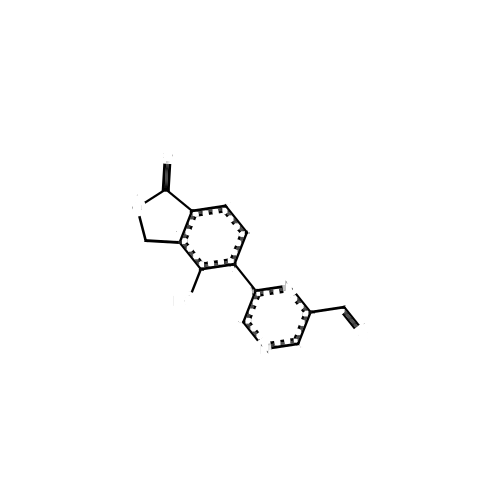 Cc1c(-c2cncc(C=O)n2)ccc2c1COC2=O